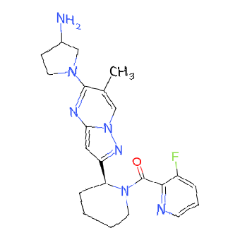 Cc1cn2nc([C@@H]3CCCCN3C(=O)c3ncccc3F)cc2nc1N1CCC(N)C1